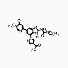 CCNC(=O)Nc1nc2cc(C3=CC(=O)C(C)C=N3)cc(-n3cc(C(=O)O)cn3)c2[nH]1